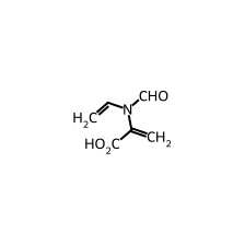 C=CN(C=O)C(=C)C(=O)O